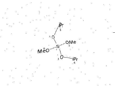 CO[Si](OC)(OC(C)C)OC(C)C